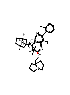 Cc1ccccc1-c1ncc2c(N3C[C@H]4CC[C@@H](C3)N4C(=O)OC(C)(C)C)nc(OCC34CCCN3CCC4)nc2c1F